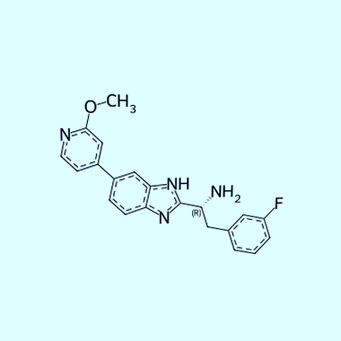 COc1cc(-c2ccc3nc([C@H](N)Cc4cccc(F)c4)[nH]c3c2)ccn1